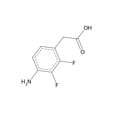 Nc1ccc(CC(=O)O)c(F)c1F